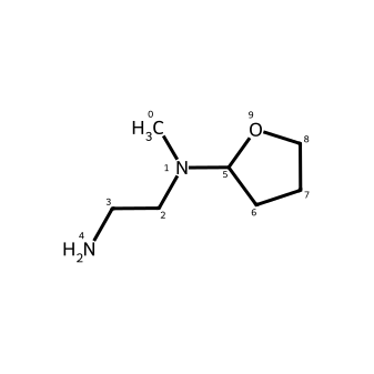 CN(CCN)C1CCCO1